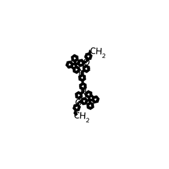 C=Cc1ccc(Oc2ccc(C3(c4ccccc4)c4ccccc4-c4ccc(N(c5ccccc5)c5ccc(-c6ccc(N(c7ccccc7)c7ccc8c(c7)C(c7ccccc7)(c7ccc(Oc9ccc(C=C)cc9)cc7)c7ccccc7-8)cc6)cc5)cc43)cc2)cc1